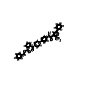 O=C(Nc1ccc(N2CCN(C(=O)[C@@H]3CCC[C@H]3C(=O)OCc3ccccc3)CC2)cc1)c1cc(-c2ccccc2)oc1C(F)(F)F